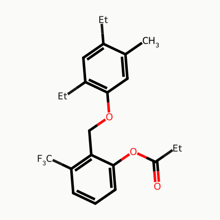 CCC(=O)Oc1cccc(C(F)(F)F)c1COc1cc(C)c(CC)cc1CC